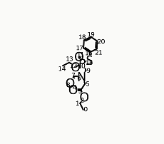 CCOC(=O)CN(C=O)CP(=O)(OCC)Sc1ccccc1